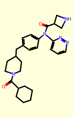 O=C(C1CCCCC1)N1CCC(Cc2ccc(N(C(=O)C3CNC3)c3cccnn3)cc2)CC1